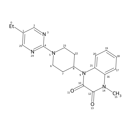 CCc1cnc(N2CCC(n3c(=O)c(=O)n(C)c4ccccc43)CC2)nc1